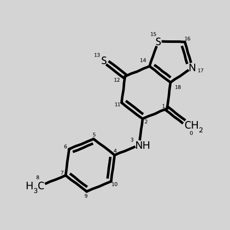 C=C1C(Nc2ccc(C)cc2)=CC(=S)c2scnc21